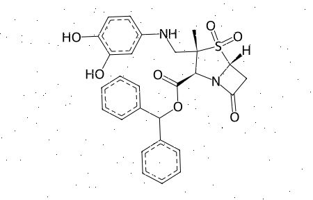 C[C@]1(CNc2ccc(O)c(O)c2)[C@H](C(=O)OC(c2ccccc2)c2ccccc2)N2C(=O)C[C@H]2S1(=O)=O